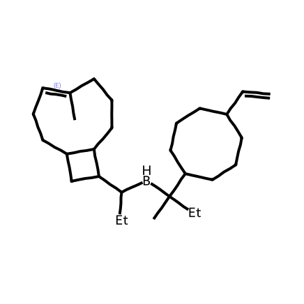 C=CC1CCCC(C(C)(BC(CC)C2CC3CC/C=C(\C)CCCC32)CC)CCC1